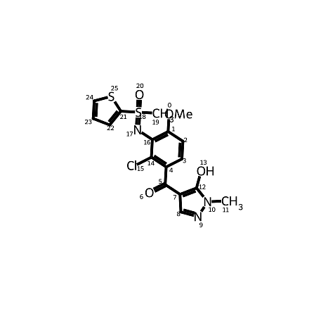 COc1ccc(C(=O)c2cnn(C)c2O)c(Cl)c1N=S(C)(=O)c1cccs1